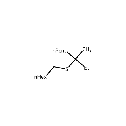 CCCCCCCSC(C)(CC)CCCCC